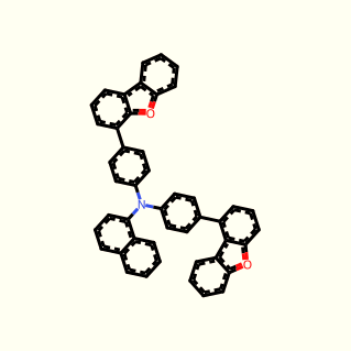 c1ccc2c(N(c3ccc(-c4cccc5c4oc4ccccc45)cc3)c3ccc(-c4cccc5oc6ccccc6c45)cc3)cccc2c1